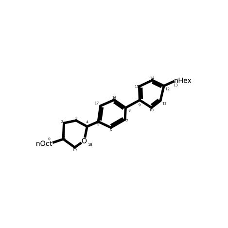 CCCCCCCCC1CCC(c2ccc(-c3ccc(CCCCCC)cc3)cc2)OC1